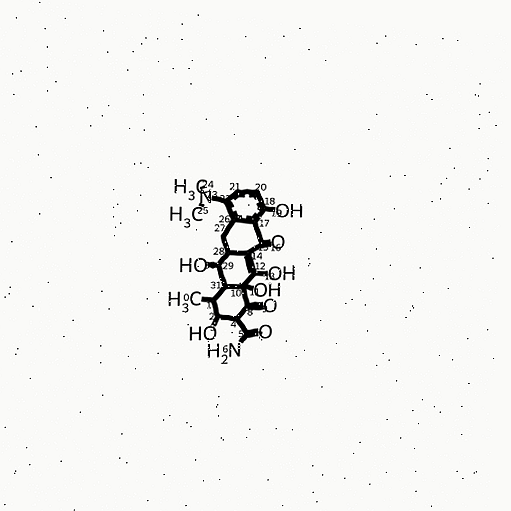 CC1C(O)C(C(N)=O)C(=O)C2(O)C(O)=C3C(=O)c4c(O)ccc(N(C)C)c4CC3C(O)C12